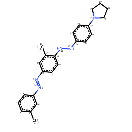 Cc1cccc(/N=N/c2ccc(NNc3ccc(N4CCCC4)cc3)c(C)c2)c1